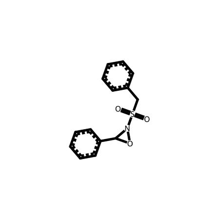 O=S(=O)(Cc1ccccc1)N1OC1c1ccccc1